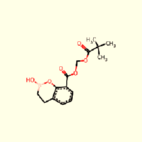 CC(C)(C)C(=O)OCOC(=O)c1cccc2c1OB(O)CC2